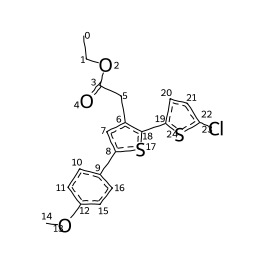 CCOC(=O)Cc1cc(-c2ccc(OC)cc2)sc1-c1ccc(Cl)s1